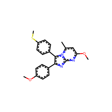 COc1ccc(-c2nc3nc(OC)cc(C)n3c2-c2ccc(SC)cc2)cc1